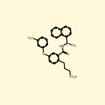 Cc1cccc(Oc2ccc(CCCC(=O)O)c(C(=O)N[C@H](C)c3cccc4ccccc34)c2)c1